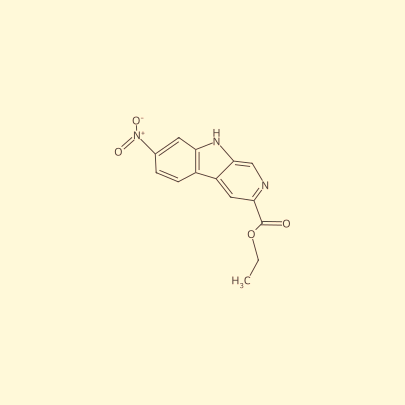 CCOC(=O)c1cc2c(cn1)[nH]c1cc([N+](=O)[O-])ccc12